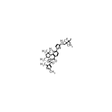 Cc1nn(C)cc1S(=O)(=O)NC(=O)c1ccc(-n2ccc(OCC(C)(C)C(F)(F)F)n2)nc1N1C[C@H](C)CC1(C)C